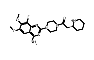 COc1cc2c(N)nc(N3CCN(C(=O)C[C@@H]4CCCCN4)CC3)nc2c(F)c1OC